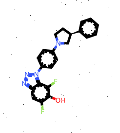 Oc1c(F)cc2nnn(-c3ccc(N4CC[C@@H](c5ccccc5)C4)cc3)c2c1F